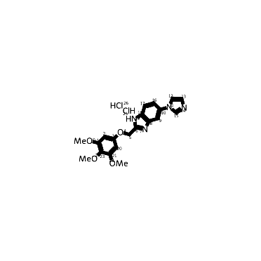 COc1cc(OCc2nc3cc(-n4ccnc4)ccc3[nH]2)cc(OC)c1OC.Cl.Cl